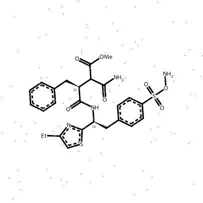 CCc1csc([C@H](Cc2ccc(S(=O)(=O)ON)cc2)NC(=O)[C@@H](Cc2ccccc2)C(C(N)=O)C(=O)OC)n1